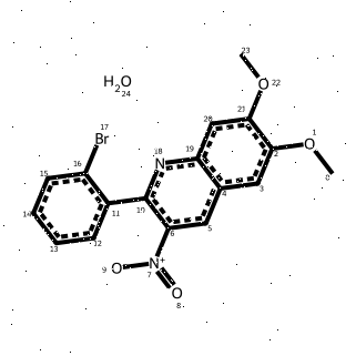 COc1cc2cc([N+](=O)[O-])c(-c3ccccc3Br)nc2cc1OC.O